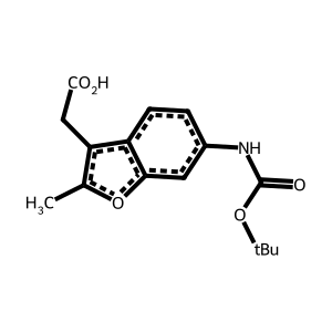 Cc1oc2cc(NC(=O)OC(C)(C)C)ccc2c1CC(=O)O